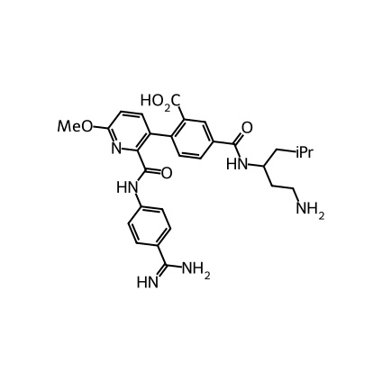 COc1ccc(-c2ccc(C(=O)NC(CCN)CC(C)C)cc2C(=O)O)c(C(=O)Nc2ccc(C(=N)N)cc2)n1